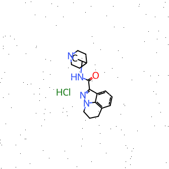 Cl.O=C(NC1CN2CCC1CC2)c1nn2c3c(cccc13)CCC2